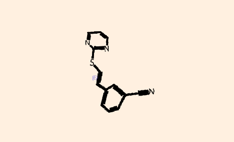 N#Cc1cccc(/C=C/Sc2ncccn2)c1